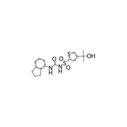 CC(C)(O)c1csc(S(=O)(=O)NC(=O)Nc2cccc3c2CCC3)c1